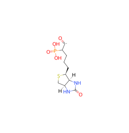 O=[C]C(CCC[C@@H]1SC[C@@H]2NC(=O)N[C@@H]21)P(=O)(O)O